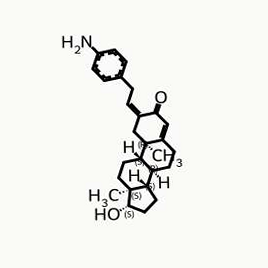 C[C@]12CC[C@H]3[C@@H](CCC4=CC(=O)C(=CCc5ccc(N)cc5)C[C@@]43C)[C@@H]1CC[C@@H]2O